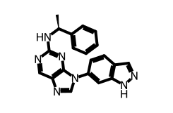 C[C@H](Nc1ncc2ncn(-c3ccc4cn[nH]c4c3)c2n1)c1ccccc1